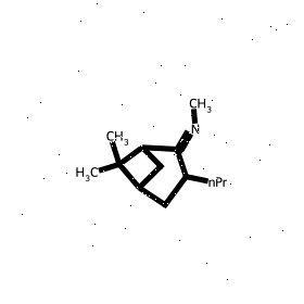 CCCC1CC2CC(C1=NC)C2(C)C